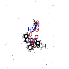 Cc1cc(C(=O)NCCOc2cccc3c2[C@@H](CN2C(=O)c4ccccc4C2=O)N(C(=O)C2CCCC[C@H]2C(=O)O)CC3)no1